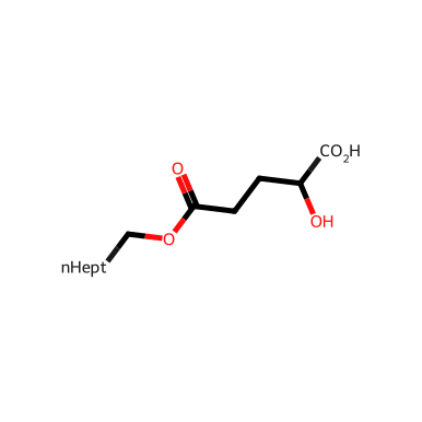 CCCCCCCCOC(=O)CCC(O)C(=O)O